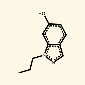 CCCn1ncc2ccc(O)cc21